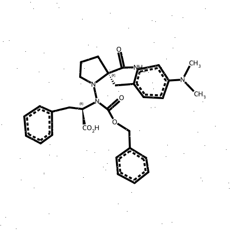 CN(C)c1ccc(C[C@@]2(C(N)=O)CCCN2N(C(=O)OCc2ccccc2)[C@H](Cc2ccccc2)C(=O)O)cc1